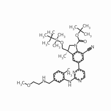 COCCNCc1ccc(C)c(Nc2nccc(-c3cc(C#N)c4c(c3)[C@@](C)(CO[Si](C)(C)C(C)(C)C)CN4C(=O)OC(C)(C)C)n2)c1